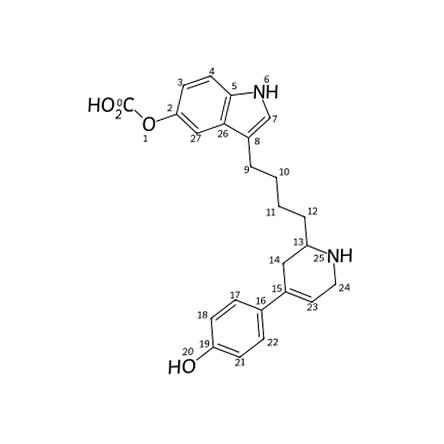 O=C(O)Oc1ccc2[nH]cc(CCCCC3CC(c4ccc(O)cc4)=CCN3)c2c1